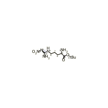 CC(C)(C)OC(=O)C(N)CCCN/C(N)=N/[N+](=O)[O-]